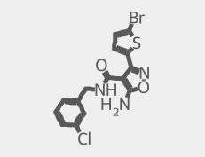 Nc1onc(-c2ccc(Br)s2)c1C(=O)NCc1cccc(Cl)c1